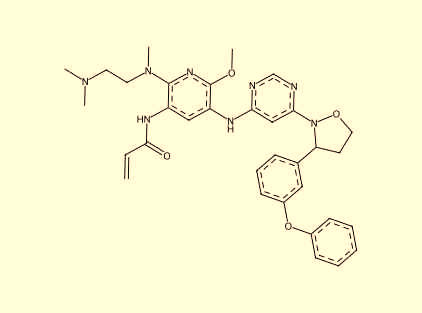 C=CC(=O)Nc1cc(Nc2cc(N3OCCC3c3cccc(Oc4ccccc4)c3)ncn2)c(OC)nc1N(C)CCN(C)C